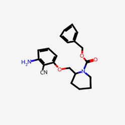 N#Cc1c(N)cccc1OCC1CCCCN1C(=O)OCc1ccccc1